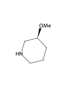 CO[C@H]1C[CH]CNC1